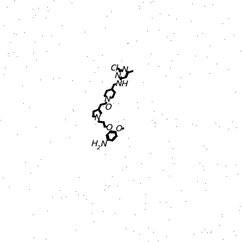 COc1ccc(N)cc1OCCCN1CCC(CC(=O)N2CCC(CNc3cc(C)nc(Cl)n3)CC2)C1